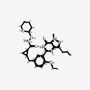 CCCc1nn(C)c2c(=O)[nH]c(-c3cc(CC4CC4C(=O)NOC4CCCCO4)ccc3OCC)nc12